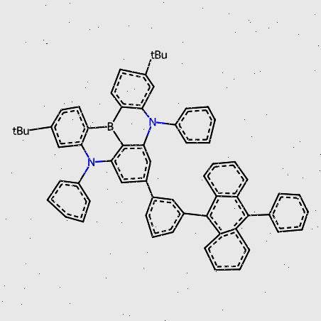 CC(C)(C)c1ccc2c(c1)N(c1ccccc1)c1cc(-c3cccc(-c4c5ccccc5c(-c5ccccc5)c5ccccc45)c3)cc3c1B2c1ccc(C(C)(C)C)cc1N3c1ccccc1